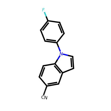 N#Cc1ccc2c(ccn2-c2ccc(F)cc2)c1